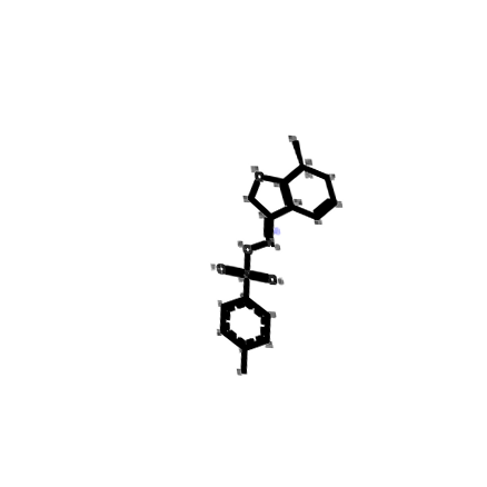 Cc1ccc(S(=O)(=O)O/N=C2\COC3=C2C=CC[C@@H]3C)cc1